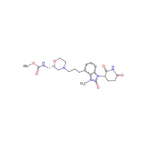 Cn1c(=O)n(C2CCC(=O)NC2=O)c2cccc(CCCN3CCO[C@@H](CNC(=O)OC(C)(C)C)C3)c21